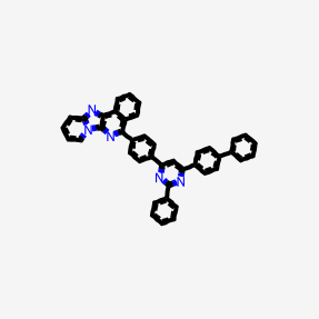 c1ccc(-c2ccc(-c3cc(-c4ccc(-c5nc6c(nc7ccccn76)c6ccccc56)cc4)nc(-c4ccccc4)n3)cc2)cc1